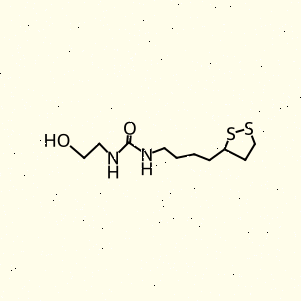 O=C(NCCO)NCCCCC1CCSS1